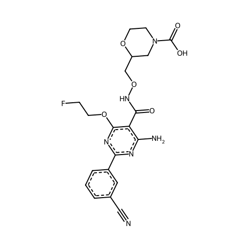 N#Cc1cccc(-c2nc(N)c(C(=O)NOCC3CN(C(=O)O)CCO3)c(OCCF)n2)c1